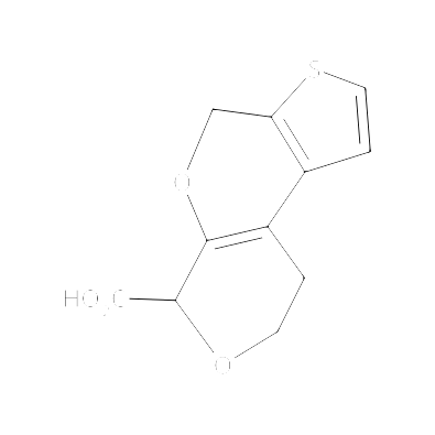 O=C(O)C1OCCC2=C1OCc1sccc12